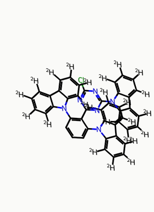 [2H]c1c([2H])c([2H])c2c(c1[2H])c1c([2H])c([2H])c([2H])c([2H])c1n2-c1nc(Cl)nc(-c2c(-n3c4c([2H])c([2H])c([2H])c([2H])c4c4c([2H])c([2H])c([2H])c([2H])c43)cccc2-n2c3c([2H])c([2H])c([2H])c([2H])c3c3c([2H])c([2H])c([2H])c([2H])c32)n1